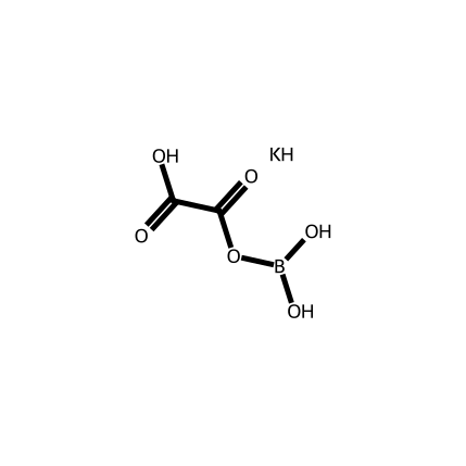 O=C(O)C(=O)OB(O)O.[KH]